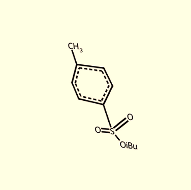 C[C](C)COS(=O)(=O)c1ccc(C)cc1